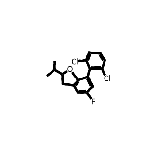 CC(C)C1Cc2cc(F)cc(-c3c(Cl)cccc3Cl)c2O1